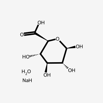 O.O=C(O)[C@H]1O[C@@H](O)[C@H](O)[C@@H](O)[C@@H]1O.[NaH]